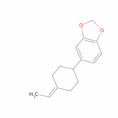 CC=C1CCC(c2ccc3c(c2)OCO3)CC1